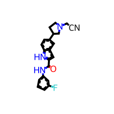 N#CCN1CCC(c2ccc3[nH]c(C(=O)Nc4cccc(F)c4)cc3c2)C1